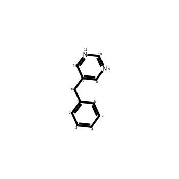 [CH](c1ccccc1)c1cncnc1